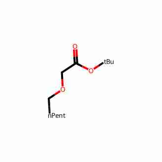 CCCCCCOCC(=O)OC(C)(C)C